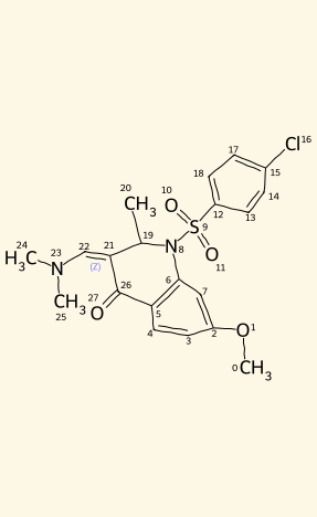 COc1ccc2c(c1)N(S(=O)(=O)c1ccc(Cl)cc1)C(C)/C(=C/N(C)C)C2=O